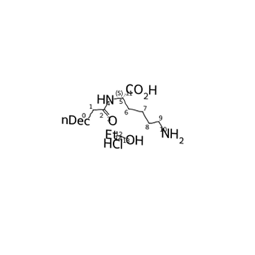 CCCCCCCCCCCC(=O)N[C@@H](CCCCN)C(=O)O.CCO.Cl